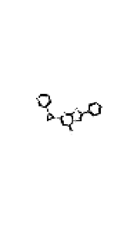 O=c1cc([C@@H]2C[C@H]2c2cccnc2)nc2sc(-c3ccccc3)cn12